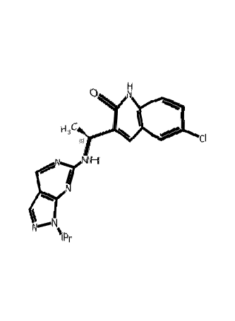 CC(C)n1ncc2cnc(N[C@@H](C)c3cc4cc(Cl)ccc4[nH]c3=O)nc21